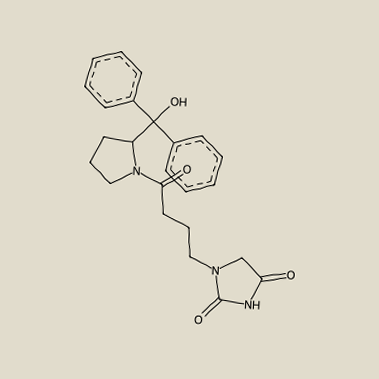 O=C1CN(CCCC(=O)N2CCCC2C(O)(c2ccccc2)c2ccccc2)C(=O)N1